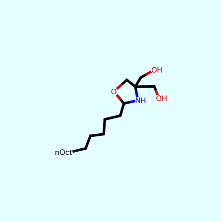 CCCCCCCCCCCCCC1NC(CO)(CO)CO1